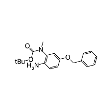 CN(C(=O)OC(C)(C)C)c1cc(OCc2ccccc2)ccc1N